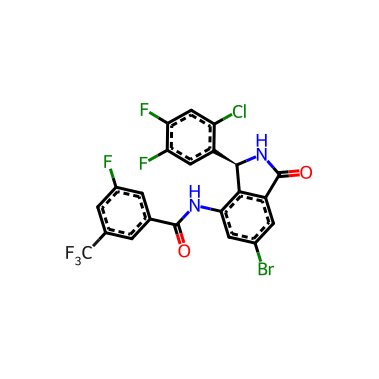 O=C(Nc1cc(Br)cc2c1[C@@H](c1cc(F)c(F)cc1Cl)NC2=O)c1cc(F)cc(C(F)(F)F)c1